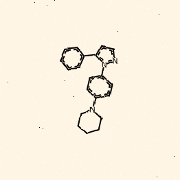 c1ccc(-c2ccnn2-c2ccc(N3CCCCC3)cc2)cc1